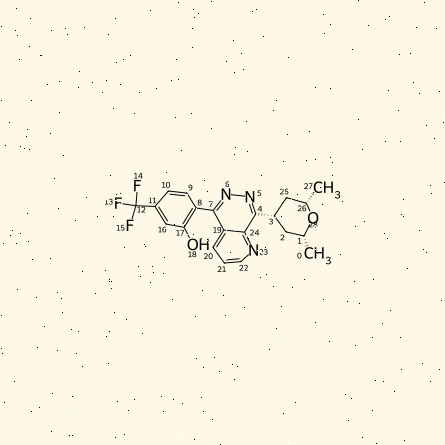 C[C@@H]1C[C@H](c2nnc(-c3ccc(C(F)(F)F)cc3O)c3cccnc23)C[C@H](C)O1